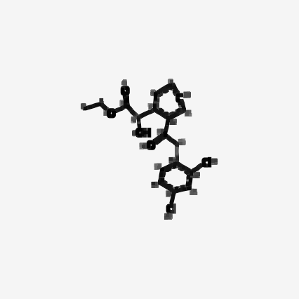 CCOC(=O)C(O)c1ccccc1C(=O)Cc1ccc(Cl)cc1Cl